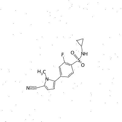 Cn1c(C#N)ccc1-c1ccc(S(=O)(=O)NC2CC2)c(F)c1